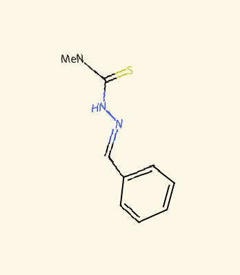 CNC(=S)NN=Cc1ccccc1